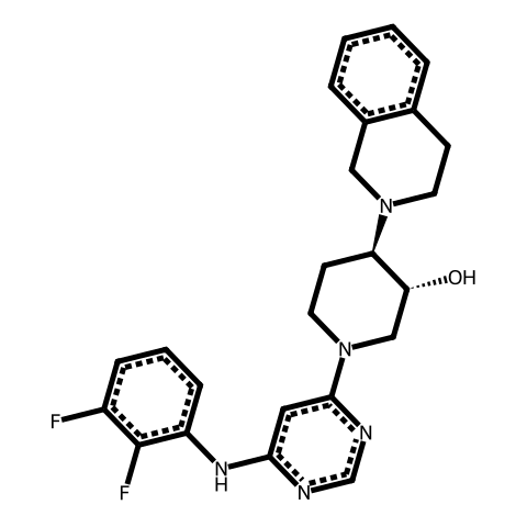 O[C@@H]1CN(c2cc(Nc3cccc(F)c3F)ncn2)CC[C@H]1N1CCc2ccccc2C1